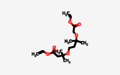 C=COC(=O)COC(C)(C)CCOC(C)(C)CC(=O)OC=C